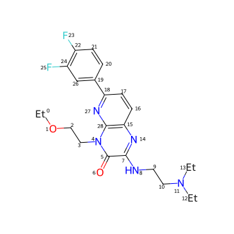 CCOCCn1c(=O)c(NCCN(CC)CC)nc2ccc(-c3ccc(F)c(F)c3)nc21